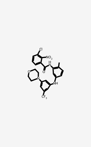 Cc1ccc(Nc2cc(N3CCOCC3)cc(C(F)(F)F)c2)cc1NC(=O)c1cccc(Cl)c1[N+](=O)[O-]